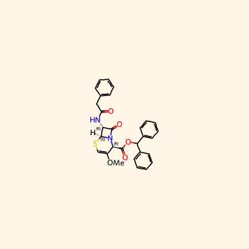 COC1=CS[C@H]2[C@H](NC(=O)Cc3ccccc3)C(=O)N2[C@H]1C(=O)OC(c1ccccc1)c1ccccc1